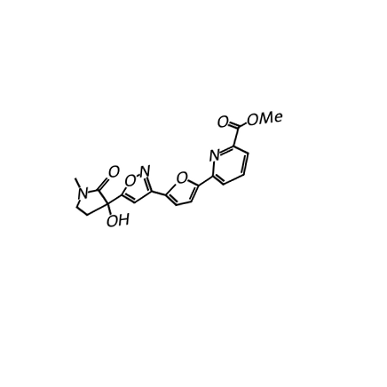 COC(=O)c1cccc(-c2ccc(-c3cc(C4(O)CCN(C)C4=O)on3)o2)n1